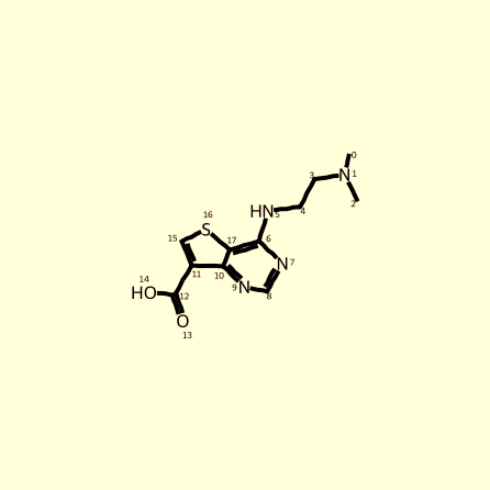 CN(C)CCNc1ncnc2c(C(=O)O)csc12